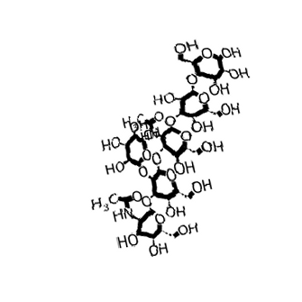 CC(=O)N[C@H]1[C@H](O[C@H]2[C@@H](O)[C@@H](CO)O[C@@H](O[C@H]3[C@H](O)[C@@H](CO)O[C@@H](O[C@H]4[C@@H](O)[C@@H](CO)O[C@@H](O[C@H]5[C@H](O)[C@@H](O)C(O)O[C@@H]5CO)[C@@H]4O)[C@@H]3NC(C)=O)[C@@H]2O[C@@H]2O[C@@H](C)[C@@H](O)[C@@H](O)[C@@H]2O)O[C@H](CO)[C@H](O)[C@@H]1O